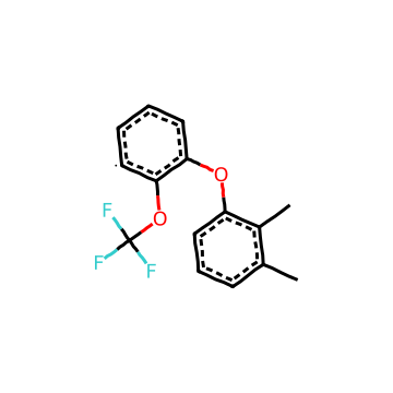 Cc1cccc(Oc2ccc[c]c2OC(F)(F)F)c1C